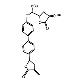 C=C=C1CC(C(CCCC)Oc2ccc(-c3ccc(C4CC(=C)C(=O)O4)cc3)cc2)OC1=O